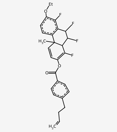 C=CCCc1ccc(C(=O)OC2=C(F)C3C(F)C(F)c4c(ccc(OCC)c4F)C3(C)C=C2)cc1